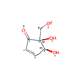 O=C1C=C[C@H](O)[C@@]1(O)CO